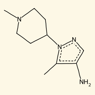 Cc1c(N)cnn1C1CCN(C)CC1